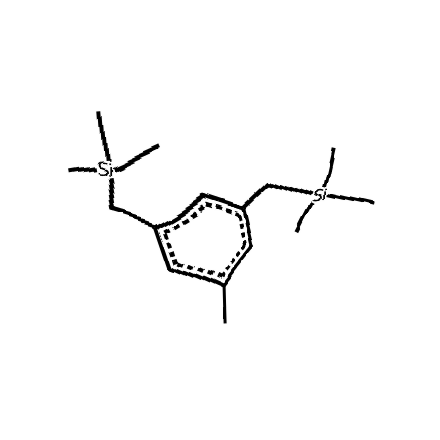 Cc1cc(C[Si](C)(C)C)cc(C[Si](C)(C)C)c1